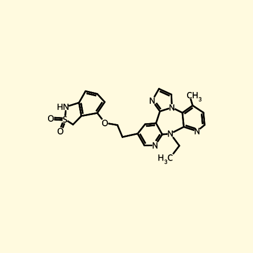 CCN1c2ncc(CCOc3cccc4c3CS(=O)(=O)N4)cc2-c2nccn2-c2c(C)ccnc21